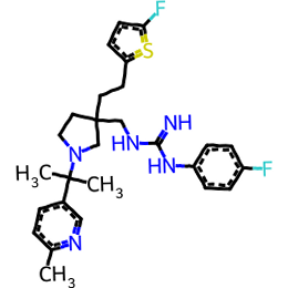 Cc1ccc(C(C)(C)N2CCC(CCc3ccc(F)s3)(CNC(=N)Nc3ccc(F)cc3)C2)cn1